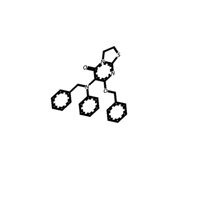 O=c1c(N(Cc2ccccc2)c2ccccc2)c(OCc2ccccc2)nc2n1CCS2